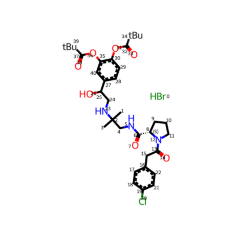 Br.CC(C)(CNC(=O)[C@@H]1CCCN1C(=O)Cc1ccc(Cl)cc1)NCC(O)c1ccc(OC(=O)C(C)(C)C)c(OC(=O)C(C)(C)C)c1